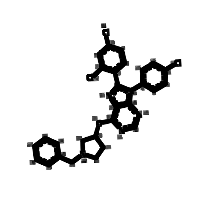 Clc1ccc(-n2c(-c3ccc(Cl)cc3Cl)nc3c(OC4CCN(Cc5ccccc5)C4)ncnc32)cc1